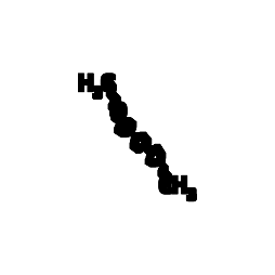 CC=CCCOCc1ccc([C@H]2CC[C@H]([C@H]3CC[C@H](CC=CC)CC3)CC2)cc1